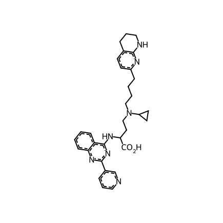 O=C(O)C(CCN(CCCCc1ccc2c(n1)NCCC2)C1CC1)Nc1nc(-c2cccnc2)nc2ccccc12